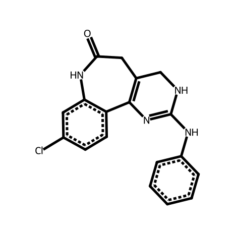 O=C1CC2=C(N=C(Nc3ccccc3)NC2)c2ccc(Cl)cc2N1